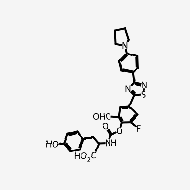 O=Cc1cc(-c2nc(-c3ccc(N4CCCC4)cc3)ns2)cc(F)c1OC(=O)NC(Cc1ccc(O)cc1)C(=O)O